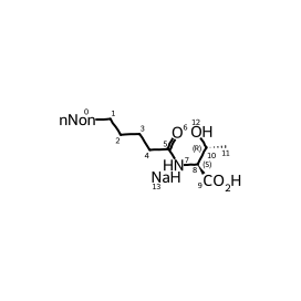 CCCCCCCCCCCCCC(=O)N[C@H](C(=O)O)[C@@H](C)O.[NaH]